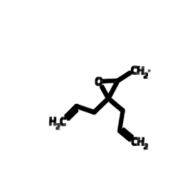 [CH2]C1OC1(CC=C)CC=C